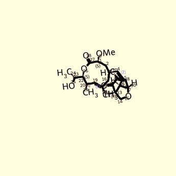 CO[C@H]1C[C@@H](/C=C\[C@H]2[C@@H]3C=C(C)C(=O)[C@H]2CO3)C/C(C)=C/[C@@H](C)[C@@H]([C@@H](C)O)OC1=O